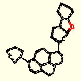 c1ccc(-c2ccc3ccc4ccc(-c5ccc6c(c5)oc5ccccc56)c5ccc2c3c45)cc1